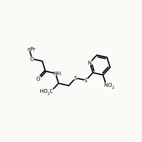 CCCOCC(=O)NC(CSSc1ncccc1[N+](=O)[O-])C(=O)O